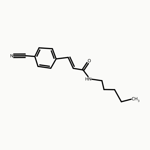 CCCCCNC(=O)C=Cc1ccc(C#N)cc1